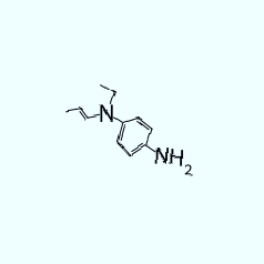 C/C=C/N(CC)c1ccc(N)cc1